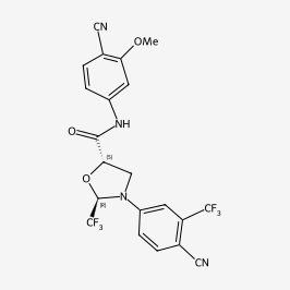 COc1cc(NC(=O)[C@@H]2CN(c3ccc(C#N)c(C(F)(F)F)c3)[C@@H](C(F)(F)F)O2)ccc1C#N